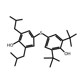 CC(C)Cc1cc(Sc2cc(C(C)(C)C)c(O)c(C(C)(C)C)c2)cc(CC(C)C)c1O